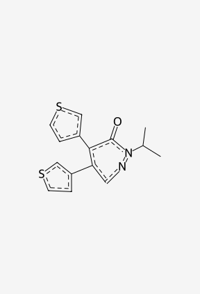 CC(C)n1ncc(-c2ccsc2)c(-c2ccsc2)c1=O